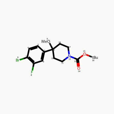 COC1(c2ccc(Br)c(F)c2)CCN(C(=O)OC(C)(C)C)CC1